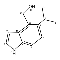 CC(C)c1ccc2[nH]ccc2c1CO